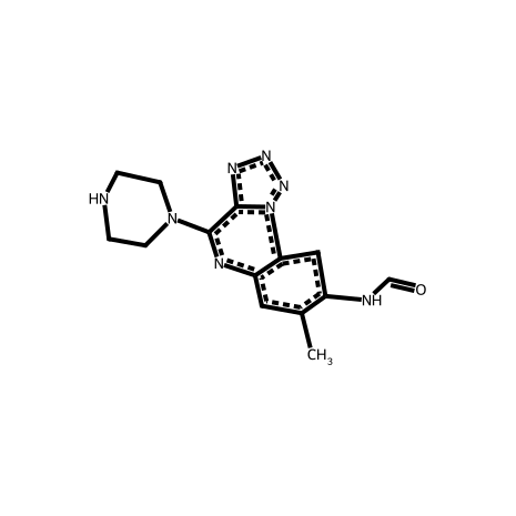 Cc1cc2nc(N3CCNCC3)c3nnnn3c2cc1NC=O